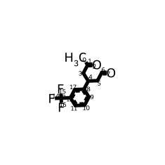 CC(=O)CC(CC=O)c1cccc(C(F)(F)F)c1